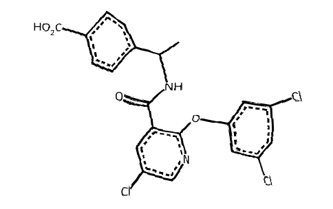 CC(NC(=O)c1cc(Cl)cnc1Oc1cc(Cl)cc(Cl)c1)c1ccc(C(=O)O)cc1